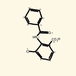 O=C(Nc1c(Cl)cccc1C(=O)O)c1ccccc1